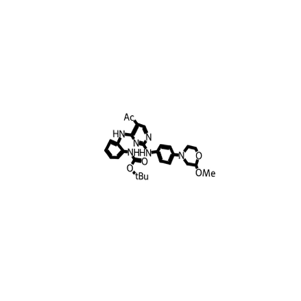 COC1CN(c2ccc(Nc3ncc(C(C)=O)c(Nc4ccccc4NC(=O)OC(C)(C)C)n3)cc2)CCO1